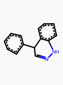 C1=NNc2ccccc2C1c1ccccc1